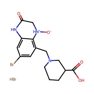 Br.O=C1C[NH+]([O-])c2c(CN3CCCC(C(=O)O)C3)cc(Br)cc2N1